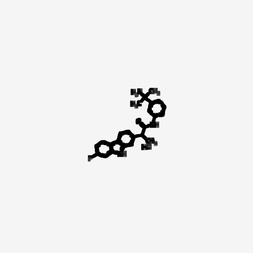 CC(C(=O)Nc1cccc(C(C)(C)N)c1)c1ccc2c(c1)[nH]c1cc(F)ccc12.Cl